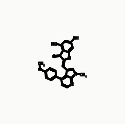 COc1ccc(-c2ccnc3c2c(C=C2Oc4cc(O)cc(O)c4C2=O)cn3C)cc1